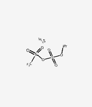 CC(C)OS(=O)(=O)OS(=O)(=O)C(F)(F)F.S